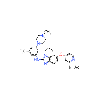 CC(=O)Nc1cc(Oc2ccc3nc(Nc4cc(N5CCN(C)CC5)cc(C(F)(F)F)c4)n4c3c2CCC4)ccn1